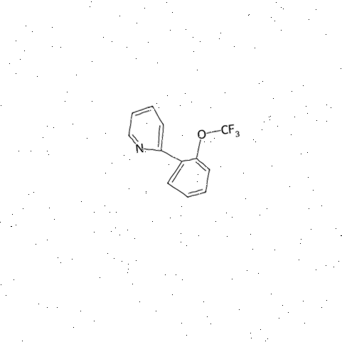 FC(F)(F)Oc1ccccc1-c1ccccn1